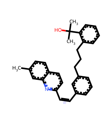 Cc1ccc2ccc(/C=C\c3cccc(CCCc4ccccc4C(C)(C)O)c3)nc2c1